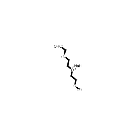 CCOCCOCCOCC=O.[NaH]